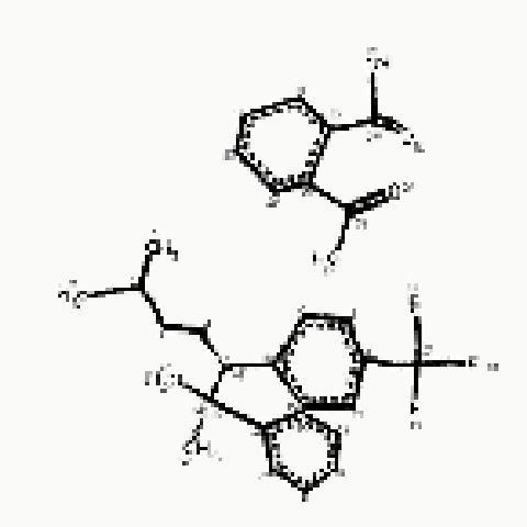 CC(C)CC[C@@H](c1ccc(C(F)(F)F)cc1)[C@](C)(N)c1ccccc1.O=C(O)c1ccccc1C(=O)O